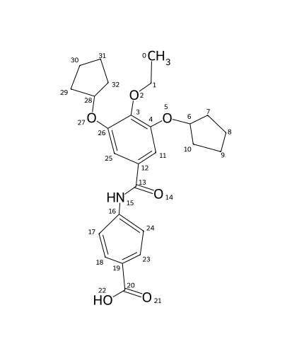 CCOc1c(OC2CCCC2)cc(C(=O)Nc2ccc(C(=O)O)cc2)cc1OC1CCCC1